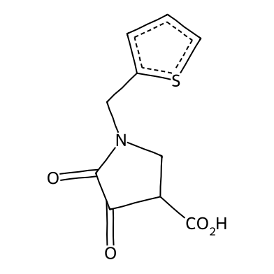 O=C(O)C1CN(Cc2cccs2)C(=O)C1=O